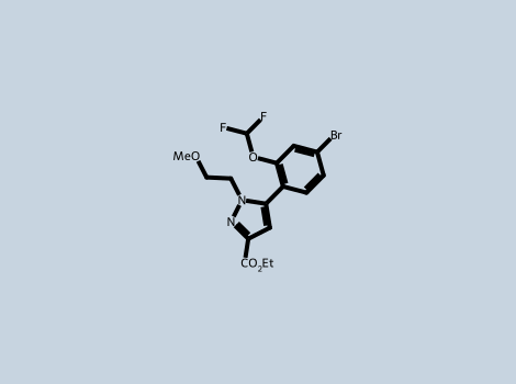 CCOC(=O)c1cc(-c2ccc(Br)cc2OC(F)F)n(CCOC)n1